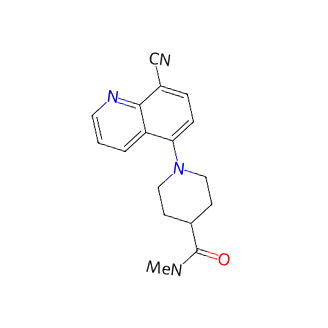 CNC(=O)C1CCN(c2ccc(C#N)c3ncccc23)CC1